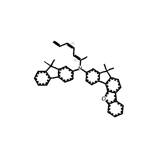 C=C/C=C\C=C(/C)N(c1ccc2c(c1)C(C)(C)c1ccccc1-2)c1ccc2c(c1)C(C)(C)c1ccc3c(oc4ccccc43)c1-2